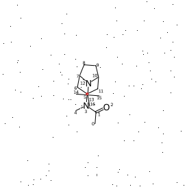 CC(=O)N(C)C1CC2CCC(C1)N2C(C)(C)C